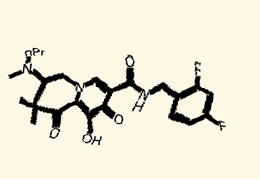 CCCN(C)C1Cn2cc(C(=O)NCc3ccc(F)cc3F)c(=O)c(O)c2C(=O)C1(C)C